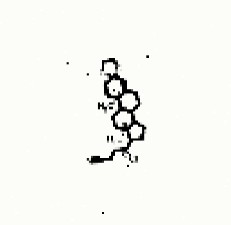 C[C@H](CCC#N)C1CCC2C3CCC4=CC5(CC[C@]4(C)C3CC[C@@]21C)OCCO5